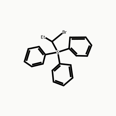 [CH2]CC(Br)S(c1ccccc1)(c1ccccc1)c1ccccc1